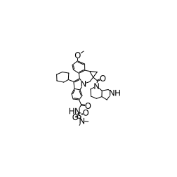 COc1ccc2c(c1)C1CC1(C(=O)N1CCCC3CNCC31)Cn1c-2c(C2CCCCC2)c2ccc(C(=O)NS(=O)(=O)N(C)C)cc21